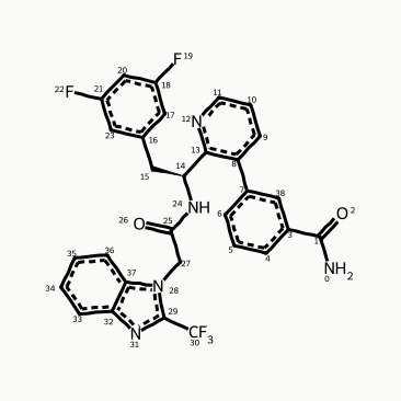 NC(=O)c1cccc(-c2cccnc2[C@H](Cc2cc(F)cc(F)c2)NC(=O)Cn2c(C(F)(F)F)nc3ccccc32)c1